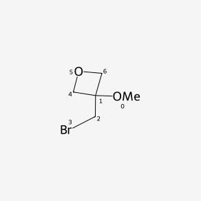 COC1(CBr)COC1